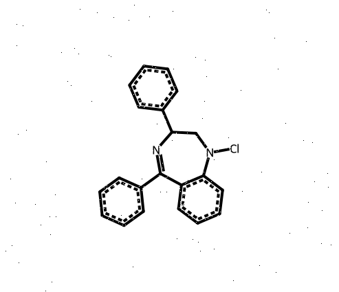 ClN1CC(c2ccccc2)N=C(c2ccccc2)c2ccccc21